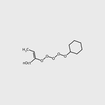 CC=C(CCCCCCCC)OOOOOC1CCCCC1